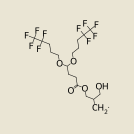 [CH2]C(CO)COC(=O)CCC(OCCCC(F)(F)C(F)(F)F)OCCCC(F)(F)C(F)(F)F